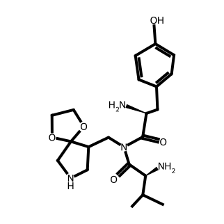 CC(C)[C@H](N)C(=O)N(CC1CNCC12OCCO2)C(=O)[C@@H](N)Cc1ccc(O)cc1